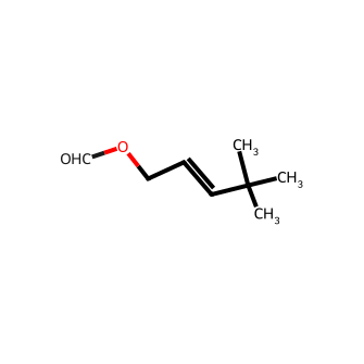 CC(C)(C)C=CCOC=O